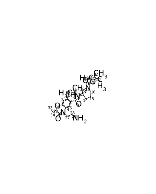 Cc1cc2c(cc1C(=O)N(C(C)C)[C@@H]1CCCN(C(=O)OC(C)(C)C)C1)N(CCN)C(=O)C1(CC1)O2